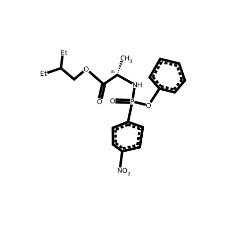 CCC(CC)COC(=O)[C@H](C)NP(=O)(Oc1ccccc1)c1ccc([N+](=O)[O-])cc1